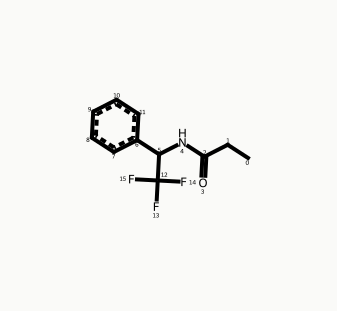 CCC(=O)NC(c1ccccc1)C(F)(F)F